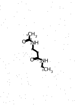 CCNC(=O)CCNC(C)=O